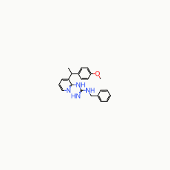 COc1ccc(C(C)c2cccnc2NC(=N)NCc2ccccc2)cc1